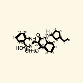 CCC1CCC(Nn2c(=O)c(C3=NS(O)(O)c4ccccc4N3)c(O)c3ccccc32)C1